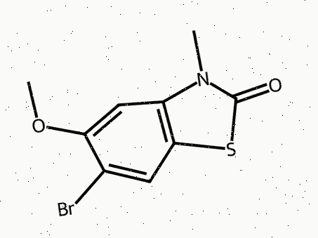 COc1cc2c(cc1Br)sc(=O)n2C